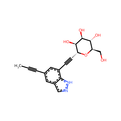 CC#Cc1cc(C#C[C@H]2O[C@H](CO)[C@@H](O)[C@H](O)[C@@H]2O)c2[nH]ncc2c1